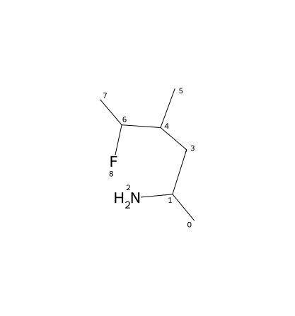 CC(N)CC(C)C(C)F